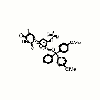 COc1ccc(C(OC[C@H]2O[C@@H](n3cc(C)c(=O)[nH]c3=O)C[C@H]2OS(C)(=O)=O)(c2ccccc2)c2ccc(OC)cc2)cc1